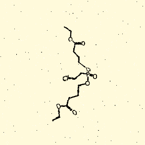 CCOC(=O)CCCOP(=O)(CCCl)OCCCC(=O)OCC